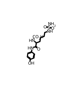 NS(=O)(=O)NCCCCC(NC(=O)O)C(=O)Nc1ccc(O)cc1